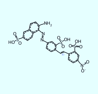 Nc1ccc2cc(S(=O)(=O)O)ccc2c1N=Nc1ccc(/C=C/c2ccc([N+](=O)[O-])cc2S(=O)(=O)O)c(S(=O)(=O)O)c1